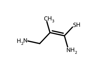 C/C(CN)=C(/N)S